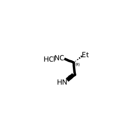 CC[C@@H](C#N)C=N.Cl